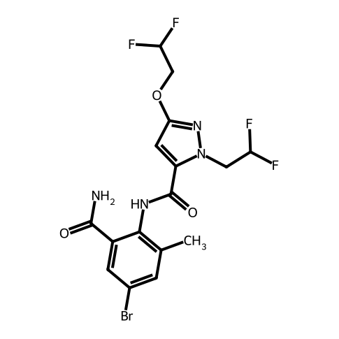 Cc1cc(Br)cc(C(N)=O)c1NC(=O)c1cc(OCC(F)F)nn1CC(F)F